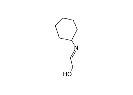 OCC=NC1CCCCC1